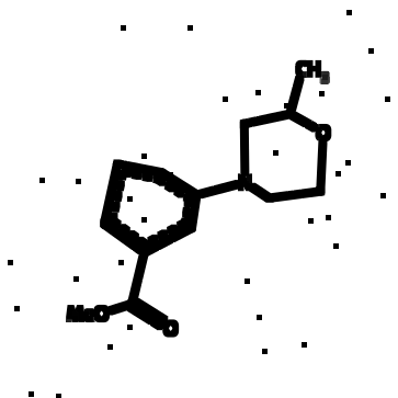 COC(=O)c1cccc(N2CCOC(C)C2)c1